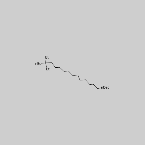 CCCCCCCCCCCCCCCCCCCCCCC(CC)(CC)CCCC